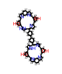 Oc1c2cccc1c1ccc3ccc4ccc(nc4c3n1)c1cccc(c1O)c1ccc([nH]1)c(-c1ccc(-c3ccc(-c4c5nc(c6cccc(c6O)c6ccc7ccc8ccc(nc8c7n6)c6cccc(c6O)c6ccc4[nH]6)C=C5)cc3)cc1)c1nc2C=C1